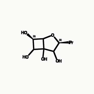 CC(C)[C@@H]1OC2[C@H](O)C(O)C2(O)C1O